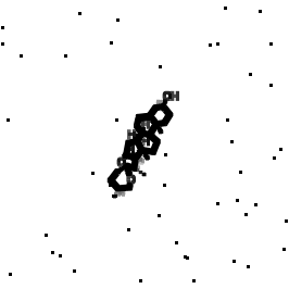 C[C@@H]1CC[C@@]2(OC1)OC1C[C@H]3[C@@H]4CC=C5C[C@@H](O)CC[C@]5(C)[C@H]4CC[C@]3(C)[C@H]1[C@@H]2C